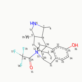 CCC12C[C@H]3CNC(C)C3C13CCN(C(=O)C(F)(F)F)C2Cc1ccc(O)cc13